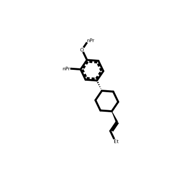 CCC=C[C@H]1CC[C@H](c2ccc(OCCC)c(CCC)c2)CC1